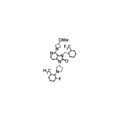 COC1CN(c2nccc3c2n(Cc2ccccc2C(F)(F)F)c(=O)n3[C@@H]2CCN(c3c(C)cccc3F)C2)C1